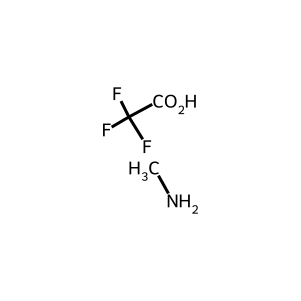 CN.O=C(O)C(F)(F)F